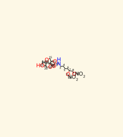 O=C(NCCCCC(CO[N+](=O)[O-])O[N+](=O)[O-])O[C@@H]1CO[C@H]2[C@@H]1OC[C@H]2O